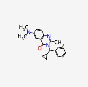 Cc1nc2ccc(N(C)C)cc2c(=O)n1C(c1ccccc1)C1CC1